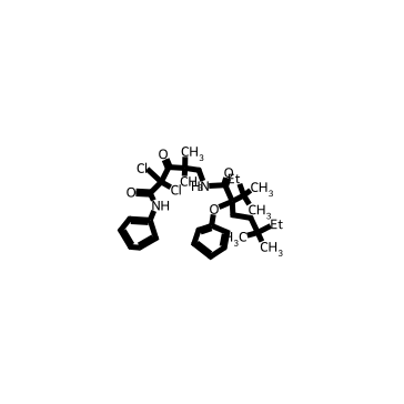 CCC(C)(C)CCC(Oc1ccccc1)(C(=O)NCC(C)(C)C(=O)C(Cl)(Cl)C(=O)Nc1ccccc1)C(C)(C)CC